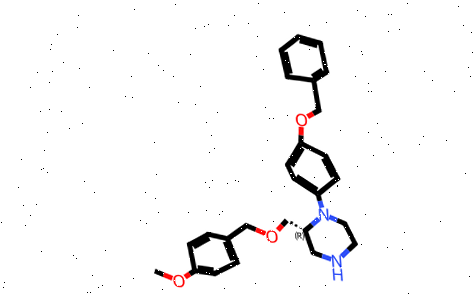 COc1ccc(COC[C@H]2CNCCN2c2ccc(OCc3ccccc3)cc2)cc1